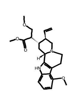 C=C[C@H]1CN2CCc3c([nH]c4cccc(OC)c34)[C@@H]2C[C@@H]1C(COC)C(=O)OC